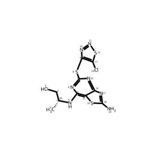 C[C@H](CO)Nc1nc(Sc2nnsc2Cl)nc2nc(N)sc12